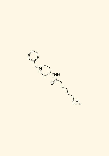 CCCCCCC(=O)NC1CCN(Cc2ccccc2)CC1